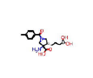 Cc1ccc(C(=O)N2C[C@H](CCCB(O)O)[C@](N)(C(=O)O)C2)cc1